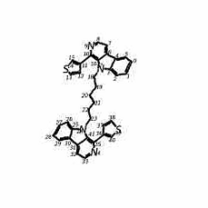 c1ccc2c(c1)c1ccnc(-c3ccsc3)c1n2CCCCCCn1c2ccccc2c2ccnc(-c3ccsc3)c21